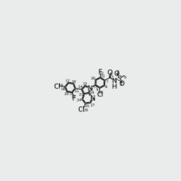 CS(=O)(=O)NC(=O)c1cc(Cl)c(-n2cc(-c3ccc(Cl)cc3F)c3cc(Cl)cnc32)cc1F